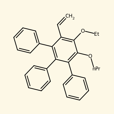 C=Cc1c(OCC)c(OCCC)c(-c2ccccc2)c(-c2ccccc2)c1-c1ccccc1